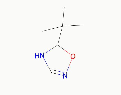 CC(C)(C)C1NC=NO1